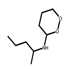 CCCC(C)N[C]1CCCOO1